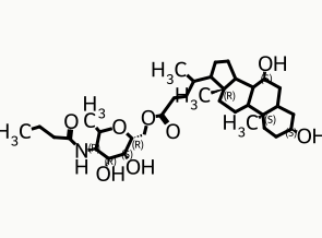 CCCC(=O)N[C@H]1C(C)O[C@H](COC(=O)CCC(C)C2CCC3C4C(CC[C@]23C)[C@@]2(C)CC[C@H](O)CC2C[C@@H]4O)[C@@H](O)[C@@H]1O